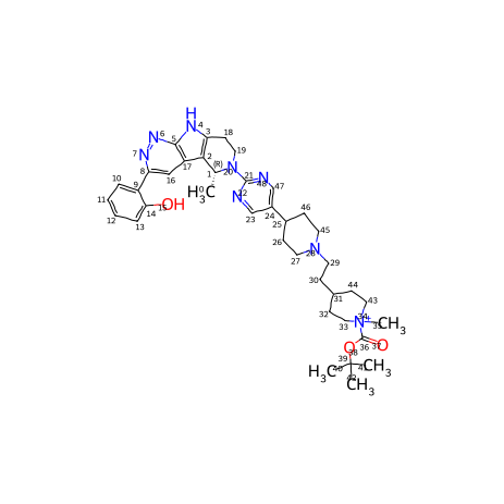 C[C@@H]1c2c([nH]c3nnc(-c4ccccc4O)cc23)CCN1c1ncc(C2CCN(CCC3CC[N+](C)(C(=O)OC(C)(C)C)CC3)CC2)cn1